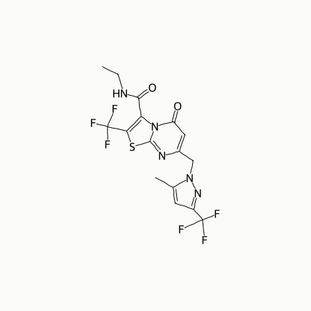 CCNC(=O)c1c(C(F)(F)F)sc2nc(Cn3nc(C(F)(F)F)cc3C)cc(=O)n12